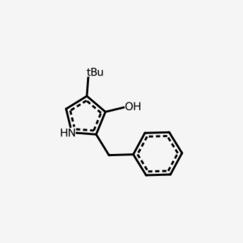 CC(C)(C)c1c[nH]c(Cc2ccccc2)c1O